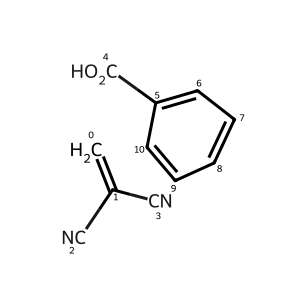 C=C(C#N)C#N.O=C(O)c1ccccc1